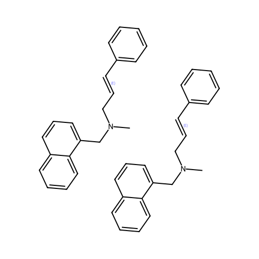 CN(C/C=C/c1ccccc1)Cc1cccc2ccccc12.CN(C/C=C/c1ccccc1)Cc1cccc2ccccc12